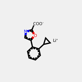 O=C([O-])c1ncc(-c2ccccc2C2CC2)o1.[Li+]